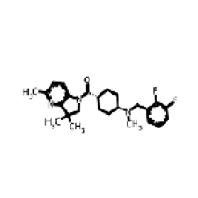 Cc1ccc2c(n1)C(C)(C)CN2C(=O)[C@H]1CC[C@H](N(C)Cc2cccc(F)c2F)CC1